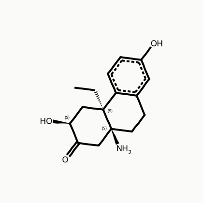 CC[C@@]12C[C@H](O)C(=O)C[C@@]1(N)CCc1cc(O)ccc12